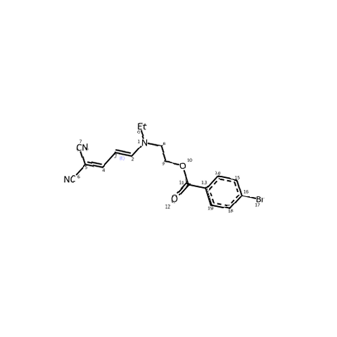 CCN(/C=C/C=C(C#N)C#N)CCOC(=O)c1ccc(Br)cc1